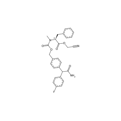 CN(C(=O)OCc1ccc(C(C(N)=O)c2ccc(F)cc2)cc1)[C@@H](Cc1ccccc1)C(=O)OCC#N